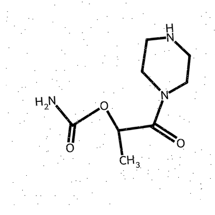 CC(OC(N)=O)C(=O)N1CCNCC1